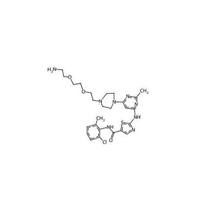 Cc1nc(Nc2ncc(C(=O)Nc3c(C)cccc3Cl)s2)cc(N2CCN(CCOCCOCCN)CC2)n1